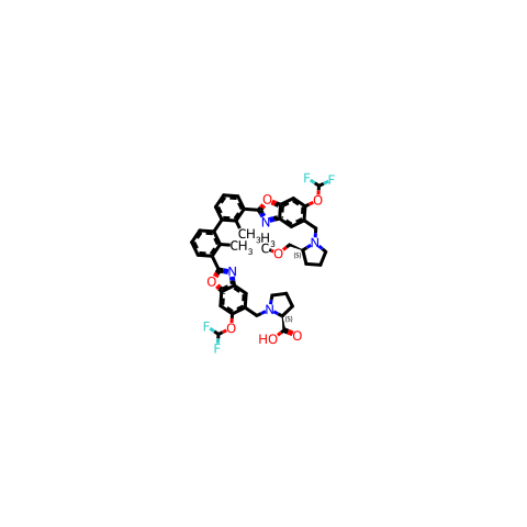 COC[C@@H]1CCCN1Cc1cc2nc(-c3cccc(-c4cccc(-c5nc6cc(CN7CCC[C@H]7C(=O)O)c(OC(F)F)cc6o5)c4C)c3C)oc2cc1OC(F)F